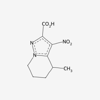 CC1CCCn2nc(C(=O)O)c([N+](=O)[O-])c21